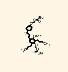 CC=CCc1cc(C=CC(=O)c2ccc(OCOC(=O)C(C)(C)C)cc2)c(OC)c(CC=CC)c1OCOC(=O)C(C)(C)C